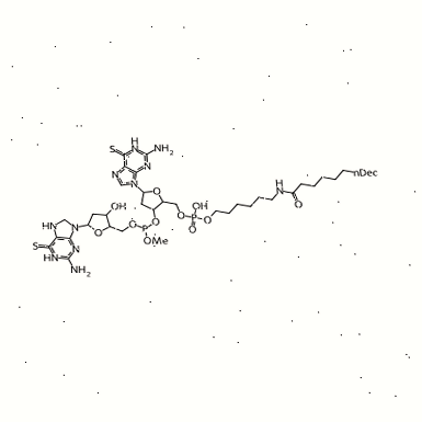 CCCCCCCCCCCCCCCC(=O)NCCCCCCOP(=O)(O)OCC1OC(n2cnc3c(=S)[nH]c(N)nc32)CC1OP(OC)OCC1OC(N2CNc3c2nc(N)[nH]c3=S)CC1O